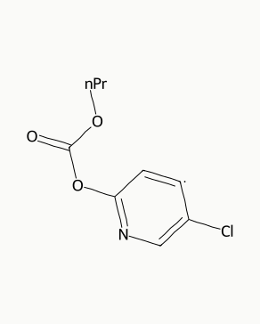 CCCOC(=O)Oc1c[c]c(Cl)cn1